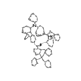 c1ccc(N(c2ccc3c(c2)oc2cccc(N(c4ccccc4)c4ccc(-c5nc6ccccc6s5)cc4)c23)c2cccc3c2-c2ccccc2C3(c2ccccc2)c2ccccc2)cc1